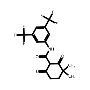 CC1(C)CCC(=O)C(C(=O)Nc2cc(C(F)(F)F)cc(C(F)(F)F)c2)C1=O